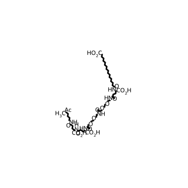 CC(=O)[C@@H](C)CCCCNC(=O)CC[C@H](NC(=O)CC[C@H](NC(=O)COCCOCCNC(=O)COCCOCCNC(=O)CC[C@H](NC(=O)CCCCCCCCCCCCCCCCC(=O)O)C(=O)O)C(=O)O)C(=O)O